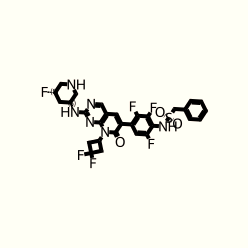 O=c1c(-c2cc(F)c(NS(=O)(=O)Cc3ccccc3)c(F)c2F)cc2cnc(N[C@@H]3CNC[C@@H](F)C3)nc2n1C1CC(F)(F)C1